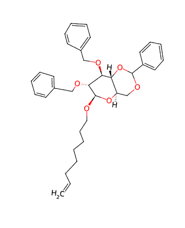 C=CCCCCCCO[C@@H]1O[C@@H]2COC(c3ccccc3)O[C@H]2[C@H](OCc2ccccc2)[C@H]1OCc1ccccc1